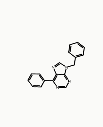 c1ccc(Cn2cnc3c(-c4ccccc4)ncnc32)cc1